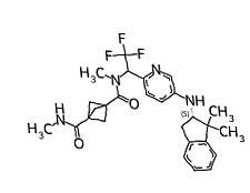 CNC(=O)C12CC(C(=O)N(C)C(c3ccc(N[C@H]4Cc5ccccc5C4(C)C)cn3)C(F)(F)F)(C1)C2